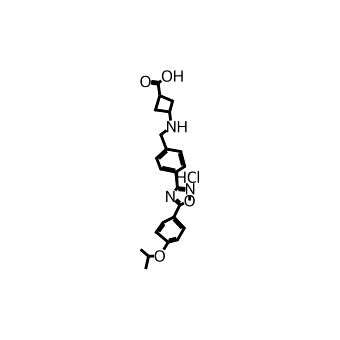 CC(C)Oc1ccc(-c2nc(-c3ccc(CNC4CC(C(=O)O)C4)cc3)no2)cc1.Cl